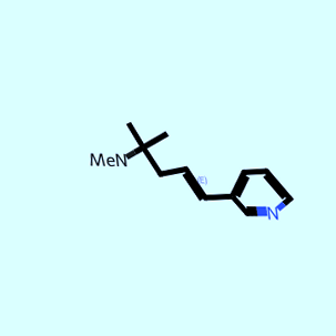 CNC(C)(C)C/C=C/c1cccnc1